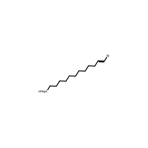 CCCCCCCCCCCCCCCCCC=C[N]